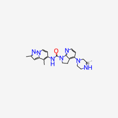 Cc1cc2c(C)c(NC(=O)N3CCc4c(N5CCN[C@@H](C)C5)ccnc43)ccn2n1